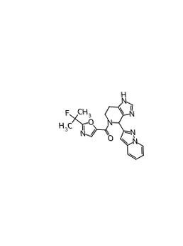 CC(C)(F)c1ncc(C(=O)N2CCc3[nH]cnc3C2c2cc3ccccn3n2)o1